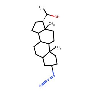 CC(O)[C@H]1CCC2C3CCC4CC(N=[N+]=[N-])CCC4(C)C3CCC21C